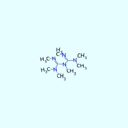 CN=C(N(C)C)N(C)C(=NC)N(C)C